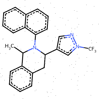 CC1c2ccccc2CC(c2cnn(C(F)(F)F)c2)N1c1cccc2ccccc12